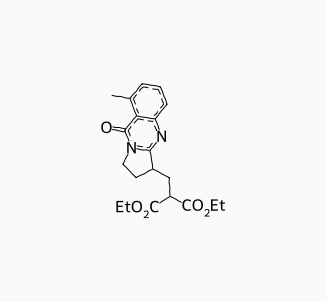 CCOC(=O)C(CC1CCn2c1nc1cccc(C)c1c2=O)C(=O)OCC